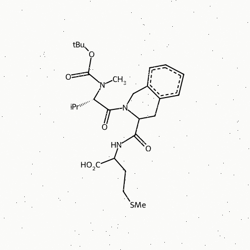 CSCCC(NC(=O)C1Cc2ccccc2CN1C(=O)[C@H](C(C)C)N(C)C(=O)OC(C)(C)C)C(=O)O